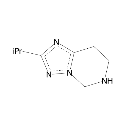 CC(C)c1nc2n(n1)CNCC2